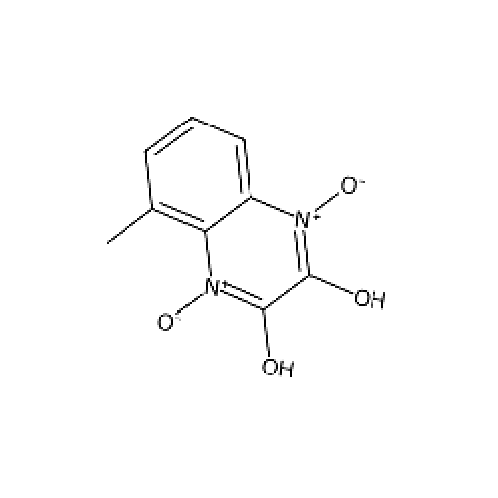 Cc1cccc2c1[n+]([O-])c(O)c(O)[n+]2[O-]